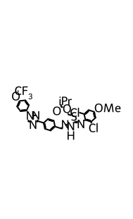 COc1cc(Cl)c(/N=C(/N/N=C/c2ccc(-c3ncn(-c4ccc(OC(F)(F)F)cc4)n3)cc2)SCOC(=O)C(C)C)c(Cl)c1